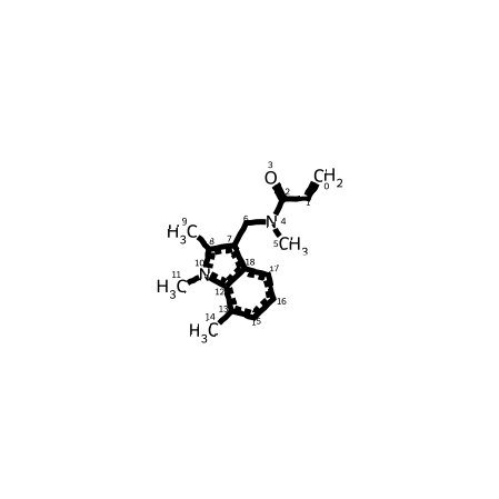 C=CC(=O)N(C)Cc1c(C)n(C)c2c(C)cccc12